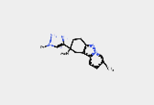 CNC1(/C(N)=C/N(N)C(C)C)CCc2nn3cc(C)ccc3c2C1